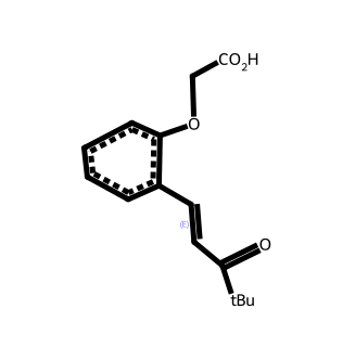 CC(C)(C)C(=O)/C=C/c1ccccc1OCC(=O)O